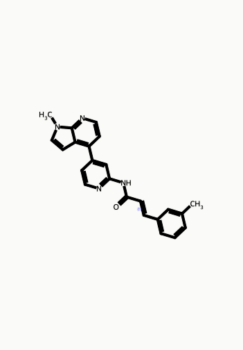 Cc1cccc(/C=C/C(=O)Nc2cc(-c3ccnc4c3ccn4C)ccn2)c1